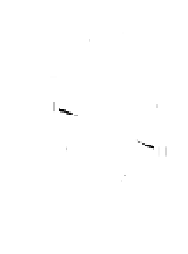 CCC1(C)O[C@H]2O[C@@H]3CO[C@@H]3[C@H]2O1